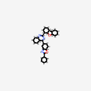 c1ccc(-c2nc3cc(-c4nc(-c5cccc6c5oc5ccccc56)nc5ccccc45)ccc3o2)cc1